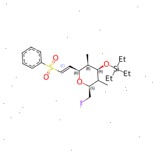 CC[Si](CC)(CC)O[C@H]1C(C)[C@@H](CI)O[C@@H](/C=C/S(=O)(=O)c2ccccc2)[C@H]1C